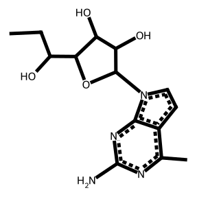 CCC(O)C1OC(n2ccc3c(C)nc(N)nc32)C(O)C1O